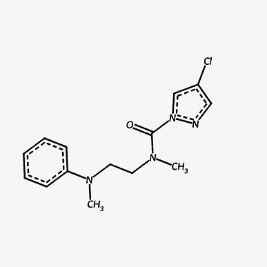 CN(CCN(C)c1ccccc1)C(=O)n1cc(Cl)cn1